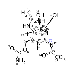 C=C1N[C@H]2[C@H](COC(N)=O)N/C(=N\C(=O)C(Cl)(Cl)Cl)N3C[C@H](O)[C@@H](O)[C@]23N1